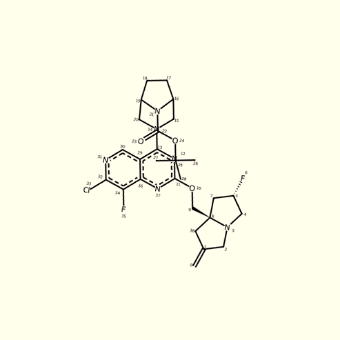 C=C1CN2C[C@@H](F)C[C@@]2(COc2nc(N3CC4CCC(C3)N4C(=O)OC(C)(C)C)c3cnc(Cl)c(F)c3n2)C1